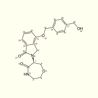 O=C1NCCOC[C@@H]1N1Cc2c(OCc3ccc(CO)cc3)cccc2C1=O